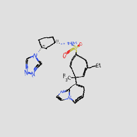 CCC1=CC(c2cccn3ccnc23)(C(F)(F)F)C=C(S(=O)(=O)N[C@H]2CCC[C@@H](n3cnnc3)C2)C1